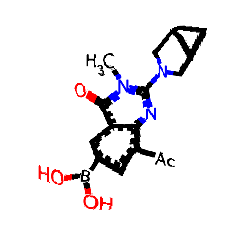 CC(=O)c1cc(B(O)O)cc2c(=O)n(C)c(N3CC4CC4C3)nc12